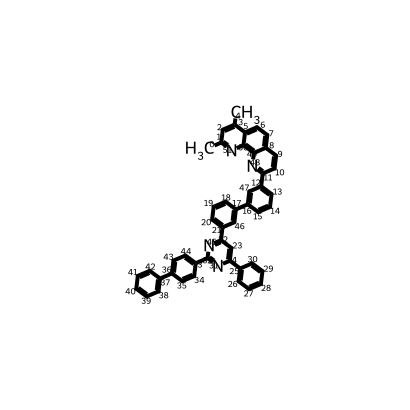 Cc1cc(C)c2ccc3ccc(-c4cccc(-c5cccc(-c6cc(-c7ccccc7)nc(-c7ccc(-c8ccccc8)cc7)n6)c5)c4)nc3c2n1